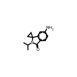 CC(C)N1C(=O)c2ccc(N)cc2C12CC2